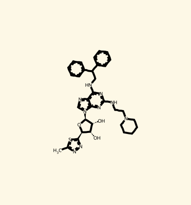 Cc1nnc([C@H]2O[C@@H](n3cnc4c(NCC(c5ccccc5)c5ccccc5)nc(NCCN5CCCCC5)nc43)[C@H](O)[C@@H]2O)s1